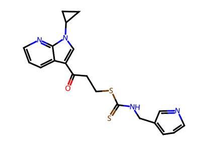 O=C(CCSC(=S)NCc1cccnc1)c1cn(C2CC2)c2ncccc12